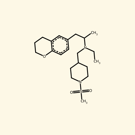 CCN(CC1CCN(S(C)(=O)=O)CC1)C(C)Cc1ccc2c(c1)CCCO2